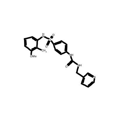 COc1cccc(NS(=O)(=O)c2ccc(NC(=O)NCc3cccnc3)cc2)c1C